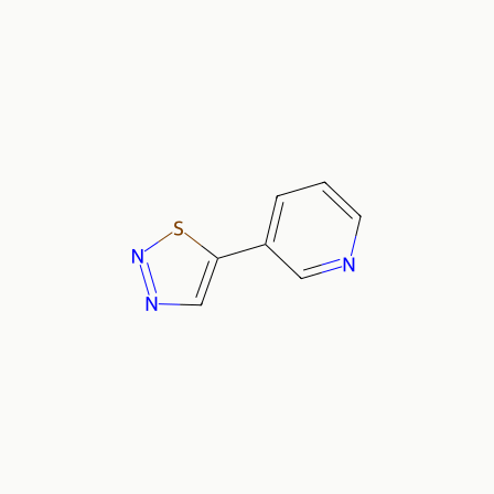 c1cncc(-c2cnns2)c1